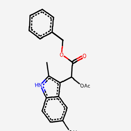 COc1ccc2[nH]c(C)c(C(OC(C)=O)C(=O)OCc3ccccc3)c2c1